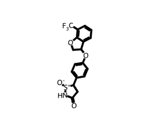 O=C1CC(c2ccc(OC3COc4c3cccc4C(F)(F)F)cc2)[S+]([O-])N1